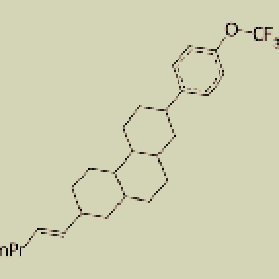 CCC/C=C/C1CCC2C(CCC3CC(c4ccc(OC(F)(F)F)cc4)CCC32)C1